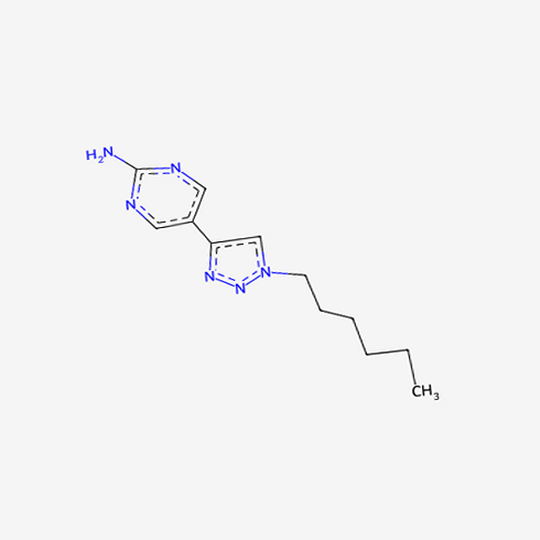 CCCCCCn1cc(-c2cnc(N)nc2)nn1